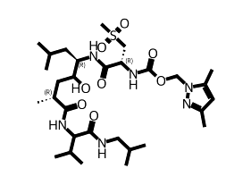 Cc1cc(C)n(COC(=O)N[C@@H](CS(C)(=O)=O)C(=O)N[C@H](CC(C)C)C(O)C[C@@H](C)C(=O)NC(C(=O)NCC(C)C)C(C)C)n1